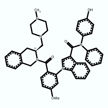 COc1ccc(C(=O)N2Cc3ccccc3C[C@H]2CN2CCN(C)CC2)c(-n2cc(C(=O)N(c3ccccc3)c3ccc(O)cc3)c3ccccc32)c1